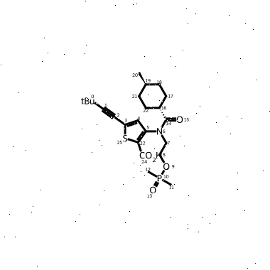 CC(C)(C)C#Cc1cc(N(CCOP(C)(C)=O)C(=O)[C@H]2CC[C@H](C)CC2)c(C(=O)O)s1